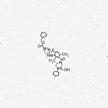 Cc1cc(C)c(C(=O)N2CCN(c3ccccc3)[C@H](CO)C2)c(C)c1NC1CCN(C(=O)OCc2ccccc2)CC1